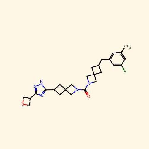 O=C(N1CC2(CC(Cc3cc(F)cc(C(F)(F)F)c3)C2)C1)N1CC2(CC(c3nc(C4COC4)n[nH]3)C2)C1